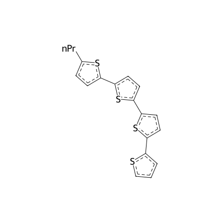 CCCc1ccc(-c2ccc(-c3ccc(-c4cccs4)s3)s2)s1